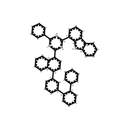 c1ccc(-c2nc(-c3ccc(-c4cccc(-c5ccccc5-c5ccccc5)c4)c4ccccc34)nc(-c3cccc4c3sc3ccccc34)n2)cc1